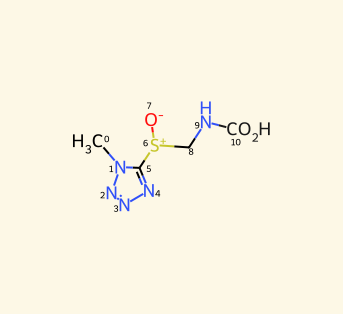 Cn1nnnc1[S+]([O-])CNC(=O)O